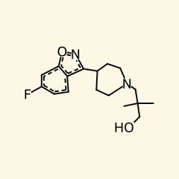 CC(C)(CO)CN1CCC(c2noc3cc(F)ccc23)CC1